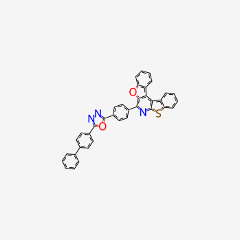 c1ccc(-c2ccc(-c3nnc(-c4ccc(-c5nc6sc7ccccc7c6c6c5oc5ccccc56)cc4)o3)cc2)cc1